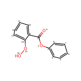 O=C(Oc1ccccc1)c1ccccc1OO